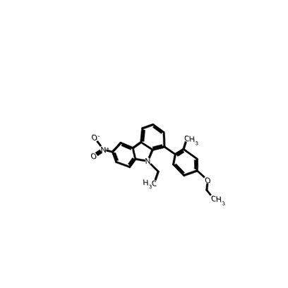 CCOc1ccc(-c2cccc3c4cc([N+](=O)[O-])ccc4n(CC)c23)c(C)c1